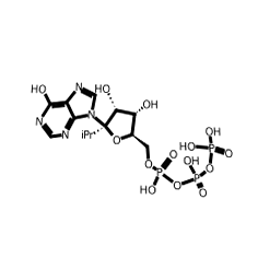 CC(C)[C@@]1(n2cnc3c(O)ncnc32)O[C@H](COP(=O)(O)OP(=O)(O)OP(=O)(O)O)[C@@H](O)[C@H]1O